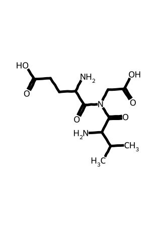 CC(C)C(N)C(=O)N(CC(=O)O)C(=O)C(N)CCC(=O)O